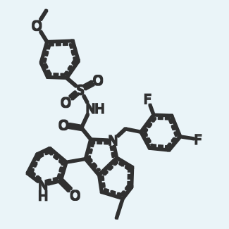 COc1ccc(S(=O)(=O)NC(=O)c2c(-c3ccc[nH]c3=O)c3cc(C)ccc3n2Cc2ccc(F)cc2F)cc1